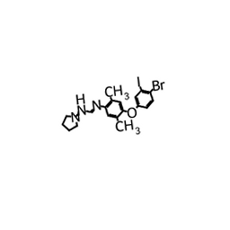 Cc1cc(Oc2ccc(Br)c(I)c2)c(C)cc1/N=C/NN1CCCC1